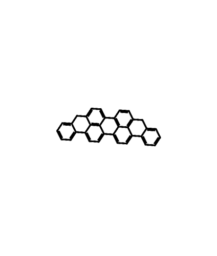 c1ccc2c(c1)Cc1ccc3c4ccc5c6c(ccc(c7ccc-2c1c37)c64)-c1ccccc1C5